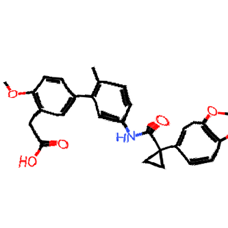 COc1ccc(-c2cc(NC(=O)C3(c4ccc5c(c4)OCO5)CC3)ccc2C)cc1CC(=O)O